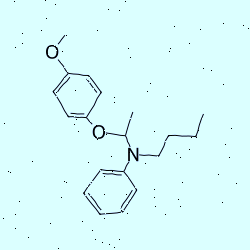 CCCCN(c1ccccc1)C(C)Oc1ccc(OC)cc1